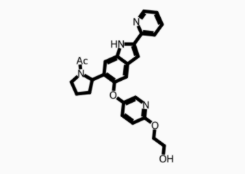 CC(=O)N1CCCC1c1cc2[nH]c(-c3ccccn3)cc2cc1Oc1ccc(OCCO)nc1